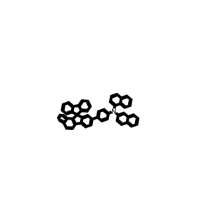 c1ccc2c(c1)-c1ccccc1C21c2cc(-c3ccc(N(c4ccc5ccccc5c4)c4cccc5ccccc45)cc3)ccc2-c2ccc3ccccc3c21